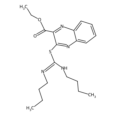 CCCC/N=C(\NCCCC)Sc1nc2ccccc2nc1C(=O)OCC